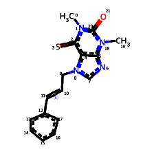 Cn1c(=S)c2c(ncn2C/C=C/c2ccccc2)n(C)c1=O